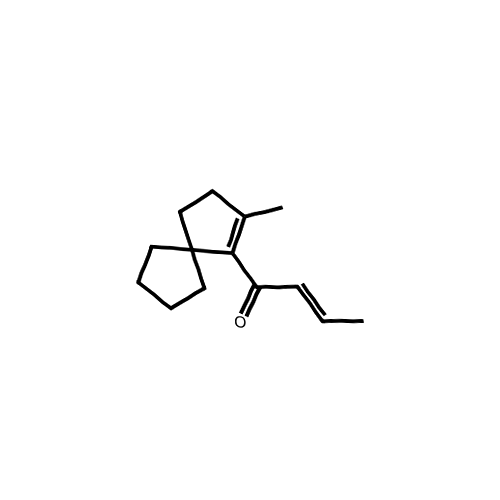 CC=CC(=O)C1=C(C)CCC12CCCC2